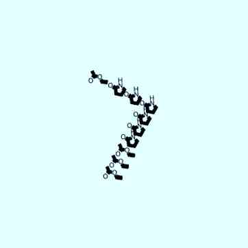 C=COC(C)=O.C=COC(C)=O.C=COC(C)=O.C=COC(C)=O.O=C1CCCN1.O=C1CCCN1.O=C1CCCN1.O=C1CCCN1.O=C1CCCN1.O=C1CCCN1